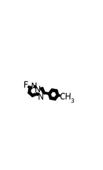 Cc1ccc(-c2cn3nc(F)ccc3n2)cc1